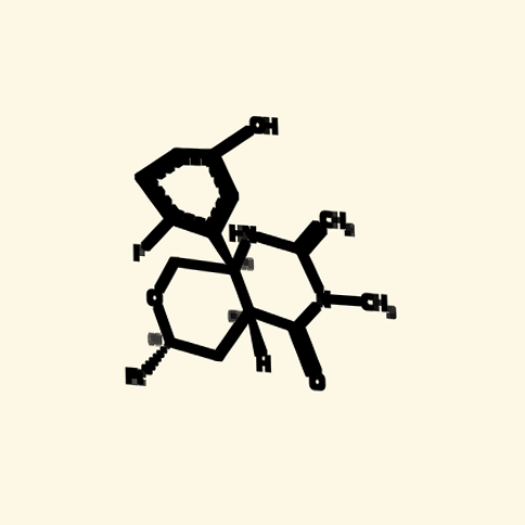 C=C1N[C@@]2(c3cc(O)ccc3F)CO[C@@H](CC)C[C@H]2C(=O)N1C